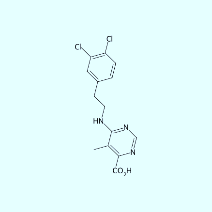 Cc1c(NCCc2ccc(Cl)c(Cl)c2)ncnc1C(=O)O